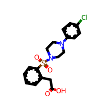 O=C(O)Cc1ccccc1S(=O)(=O)N1CCN(c2ccc(Cl)cc2)CC1